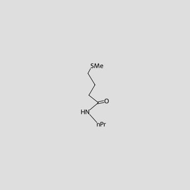 CCCNC(=O)CCCSC